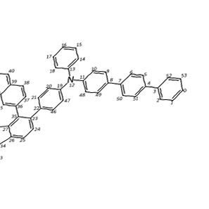 c1ccc(-c2ccc(-c3ccc(N(c4ccccc4)c4ccc(-c5ccc6c(sc7ccccc76)c5-c5ccc6ccccc6c5)cc4)cc3)cc2)cc1